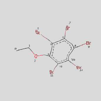 CCOc1c(Br)c(Br)c(Br)c(Br)c1Br